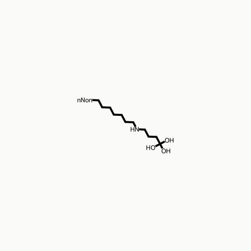 CCCCCCCCCCCCCCCCNCCCC(O)(O)O